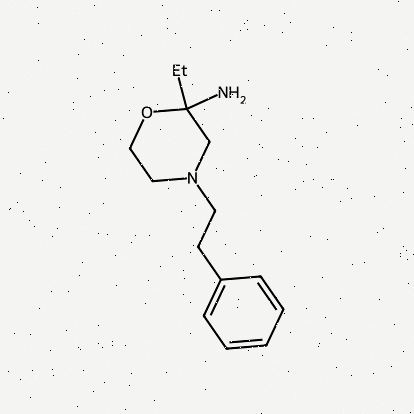 CCC1(N)CN(CCc2ccccc2)CCO1